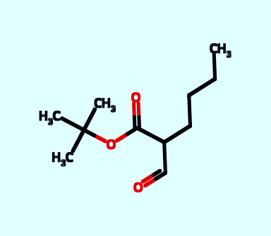 CCCCC(C=O)C(=O)OC(C)(C)C